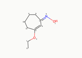 CCOC1=CC(=NO)CCCC1